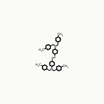 Cc1ccc(CN(Cc2ccc(C)cc2)c2ccc(SSc3ccc(N(Cc4ccc(C)cc4)Cc4ccc(C)cc4)cc3)cc2)cc1